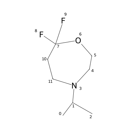 CC(C)N1CCOC(F)(F)CC1